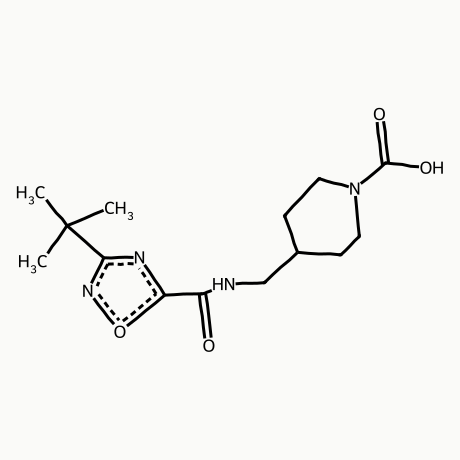 CC(C)(C)c1noc(C(=O)NCC2CCN(C(=O)O)CC2)n1